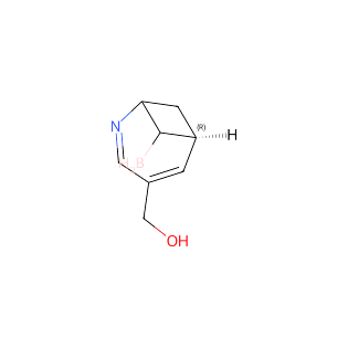 BC1C2C[C@H]1C=C(CO)C=N2